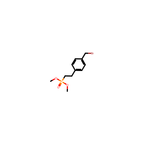 COP(=O)(CCc1ccc(CBr)cc1)OC